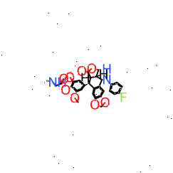 CNCC(=O)Oc1c(OC)cc([C@@H]2c3cc4c(cc3[C@@H](Nc3ccc(F)cc3)[C@H]3COC(=O)[C@H]23)OCO4)cc1OC